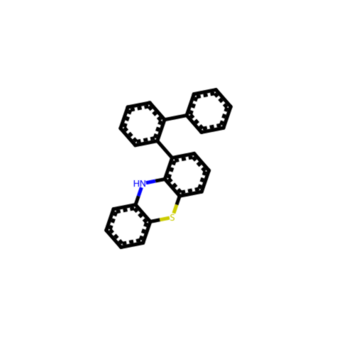 c1ccc(-c2ccccc2-c2cccc3c2Nc2ccccc2S3)cc1